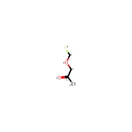 CCC(=O)COCF